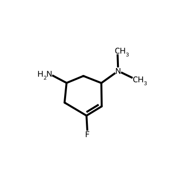 CN(C)C1C=C(F)CC(N)C1